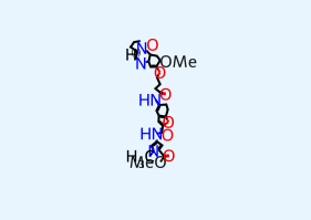 COC(=O)c1cc(NC(=O)c2cc3c(o2)CCC(NC(=O)CCCOC2=CC4N=C[C@@H]5CCCN5C(=O)C4CC2OC)=C3)cn1C